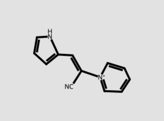 N#C/C(=C\c1ccc[nH]1)[n+]1ccccc1